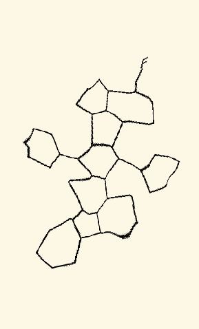 FC1CCC2C3C1CCCC3C1C(C3CCCCC3)C3CC4C5CCCCC5C5CCCC(C54)C3C(C3CCCCC3)C21